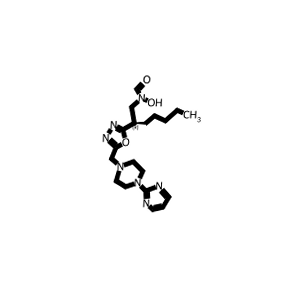 CCCCC[C@H](CN(O)C=O)c1nnc(CN2CCN(c3ncccn3)CC2)o1